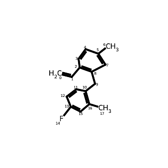 C=Cc1ccc(C)cc1Cc1ccc(F)cc1C